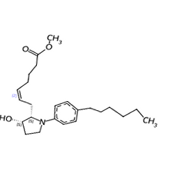 CCCCCCc1ccc(N2CC[C@H](O)[C@@H]2C/C=C\CCCC(=O)OC)cc1